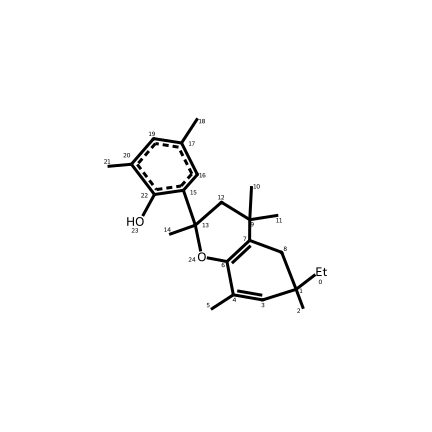 CCC1(C)C=C(C)C2=C(C1)C(C)(C)CC(C)(c1cc(C)cc(C)c1O)O2